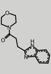 O=C(CCc1nc2ccccc2[nH]1)N1CCOCC1